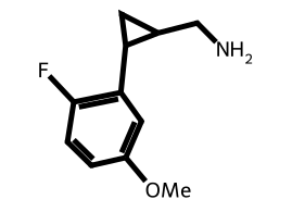 COc1ccc(F)c(C2CC2CN)c1